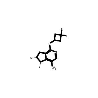 C[C@H]1c2c(C(F)(F)F)cnc(OC3CC(F)(F)C3)c2C[C@H]1F